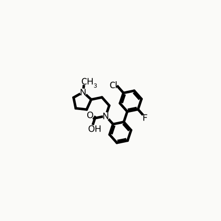 CN1CCCC1CCN(C(=O)O)c1ccccc1-c1cc(Cl)ccc1F